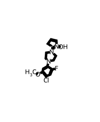 COc1cc(N2CCN(N3CC=CN3O)CC2)c(F)cc1Cl